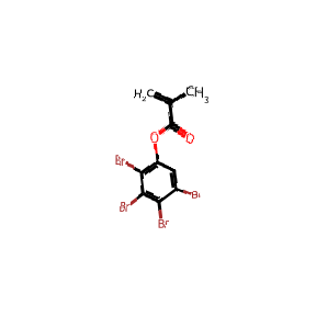 C=C(C)C(=O)Oc1cc(Br)c(Br)c(Br)c1Br